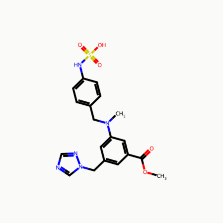 COC(=O)c1cc(Cn2cncn2)cc(N(C)Cc2ccc(NS(=O)(=O)O)cc2)c1